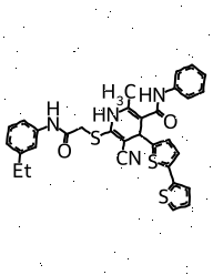 CCc1cccc(NC(=O)CSC2=C(C#N)C(c3ccc(-c4cccs4)s3)C(C(=O)Nc3ccccc3)=C(C)N2)c1